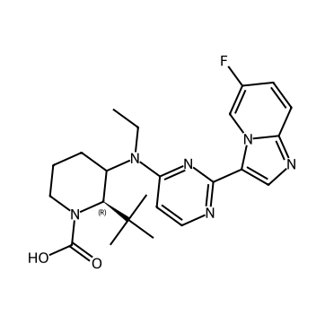 CCN(c1ccnc(-c2cnc3ccc(F)cn23)n1)C1CCCN(C(=O)O)[C@@H]1C(C)(C)C